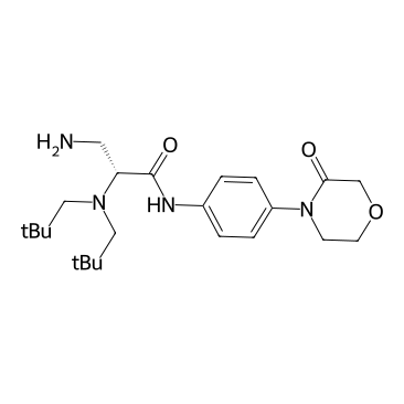 CC(C)(C)CN(CC(C)(C)C)[C@H](CN)C(=O)Nc1ccc(N2CCOCC2=O)cc1